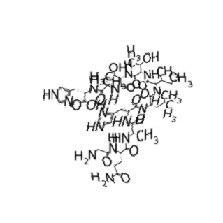 CC[C@H](C)[C@H](NC(=O)[C@H](CC(C)C)NC(=O)[C@H](Cc1c[nH]cn1)NC(=O)[C@H](C)NC(=O)[C@H](CCC(N)=O)NC(=O)CN)C(=O)N[C@H](C(=O)N[C@H](C(=O)N[C@@H](C)C(=O)N[C@@H](Cc1c[nH]cn1)C(=O)O)[C@@H](C)O)[C@@H](C)O